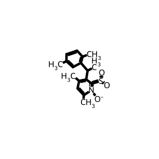 CC1=CC(C)=C(C(C)c2cc(C)ccc2C)C(=S(=O)=O)[NH+]1[O-]